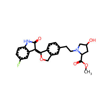 COC(=O)C1CC(O)CN1CCc1ccc2c(c1)CO/C2=C1/C(=O)Nc2ccc(F)cc21